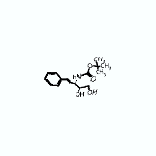 CC(C)(C)OC(=O)N[C@@H](/C=C/c1ccccc1)[C@H](O)CO